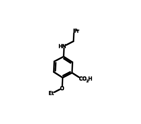 CCOc1ccc(NCC(C)C)cc1C(=O)O